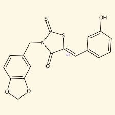 O=C1/C(=C/c2cccc(O)c2)SC(=S)N1Cc1ccc2c(c1)OCO2